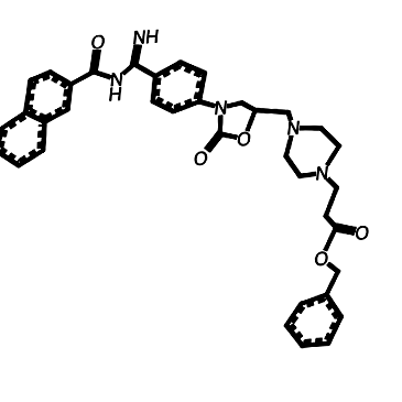 N=C(NC(=O)c1ccc2ccccc2c1)c1ccc(N2CC(CN3CCN(CCC(=O)OCc4ccccc4)CC3)OC2=O)cc1